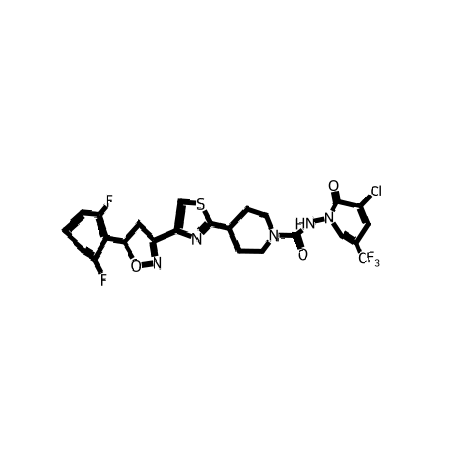 O=C(Nn1cc(C(F)(F)F)cc(Cl)c1=O)N1CCC(c2nc(C3=NOC(c4c(F)cccc4F)C3)cs2)CC1